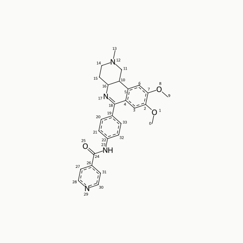 COc1cc2c(cc1OC)C1CN(C)CCC1N=C2c1ccc(NC(=O)c2ccncc2)cc1